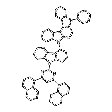 c1ccc(-n2c3ccccc3c3c4c5ccccc5n(-c5cccc6c5c5ccccc5n6-c5nc(-c6cccc7ccccc67)cc(-c6cccc7ccccc67)n5)c4ccc32)cc1